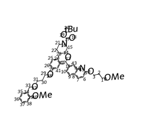 COCCCOc1ccc2ccc(COC3CN(C(=O)OC(C)(C)C)CCC3c3ccc(OCCCOCc4ccccc4OC)cc3)cc2n1